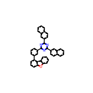 c1cc(-c2nc(-c3ccc4ccccc4c3)nc(-c3ccc4ccccc4c3)n2)cc(-c2cccc3oc4ccccc4c23)c1